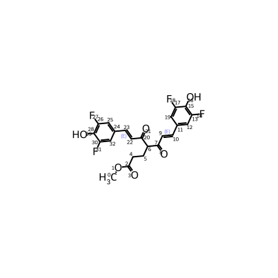 COC(=O)CCC(C(=O)/C=C/c1cc(F)c(O)c(F)c1)C(=O)/C=C/c1cc(F)c(O)c(F)c1